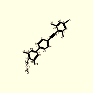 Cc1cc(C)c(C#Cc2ccc(-c3cc(C)c(N=C=S)c(C)c3)cc2)c(C)c1